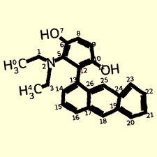 CCN(CC)c1c(O)ccc(O)c1-c1cccc2cc3ccccc3cc12